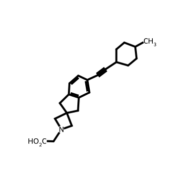 CC1CCC(C#Cc2ccc3c(c2)CC2(C3)CN(CC(=O)O)C2)CC1